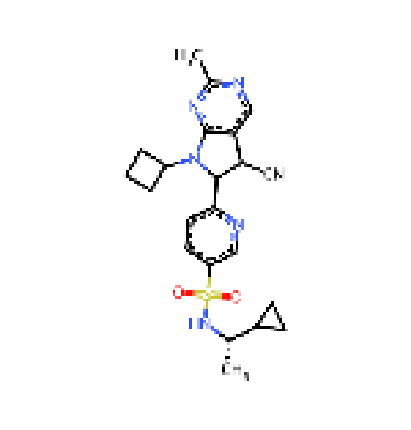 Cc1ncc2c(n1)N(C1CCC1)C(c1ccc(S(=O)(=O)N[C@@H](C)C3CC3)cn1)C2C#N